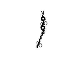 C=CC(=O)OCCCCCCOc1ccc(OC(=O)c2ccc(C#N)cc2)cc1